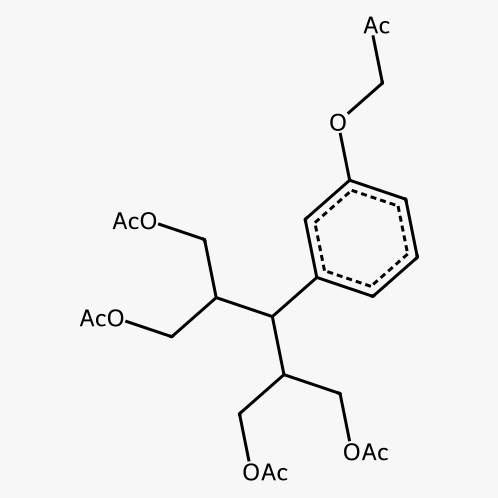 CC(=O)COc1cccc(C(C(COC(C)=O)COC(C)=O)C(COC(C)=O)COC(C)=O)c1